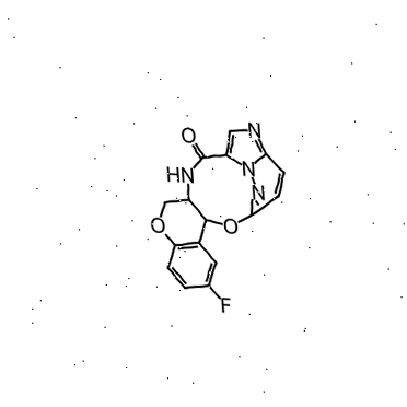 O=C1NC2COc3ccc(F)cc3C2Oc2ccc3ncc1n3n2